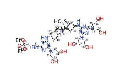 CCO[Si](CCCNc1nc(Nc2ccc(/C=C/c3ccc(Nc4nc(N(CCO)CCO)nc(N(CCO)CCO)n4)cc3S(=O)(=O)O)c(S(=O)(=O)O)c2)nc(N(CCO)CCO)n1)(OCC)OCC